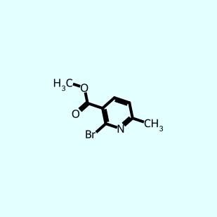 COC(=O)c1ccc(C)nc1Br